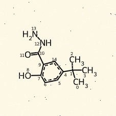 CC(C)(C)c1ccc(O)c(C(=O)NN)c1